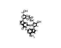 Nc1nc2c(nnn2[C@@H]2O[C@H](CO)C[C@H]2OP(O)(=S)OC[C@H]2O[C@@H](n3ccc4c(N)ncnc43)C[C@@H]2O)c(=O)[nH]1